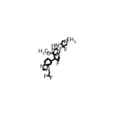 COc1nc(N[C@@H]2CN(C)CC2(F)F)nn2cc(F)c(-c3ccc4ncn(CC(F)F)c4c3)c12